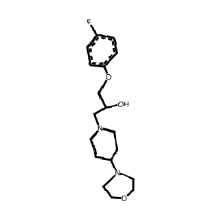 OC(COc1ccc(F)cc1)CN1CCC(N2CCOCC2)CC1